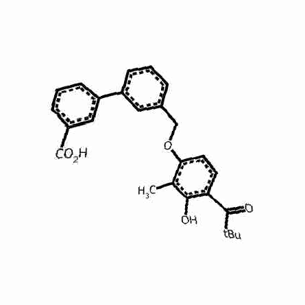 Cc1c(OCc2cccc(-c3cccc(C(=O)O)c3)c2)ccc(C(=O)C(C)(C)C)c1O